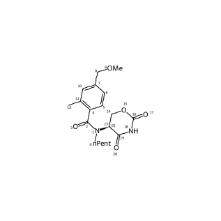 CCCCCN(C(=O)c1ccc(COC)cc1C)[C@H]1COC(=O)NC1=O